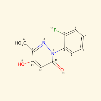 O=C(O)c1nn(-c2ccccc2F)c(=O)cc1O